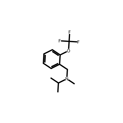 CC(C)N(C)Cc1ccccc1OC(F)(F)F